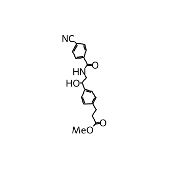 COC(=O)CCc1ccc(C(O)CNC(=O)c2ccc(C#N)cc2)cc1